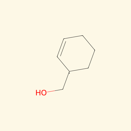 OC[C]1C=CCCC1